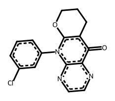 O=c1c2c(n(-c3cccc(Cl)c3)c3nccnc13)OCCC2